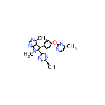 C#Cc1cnc(-c2c(-c3ccc(Oc4nccc(C)n4)cc3)c3c(C)ncnc3n2C)cn1